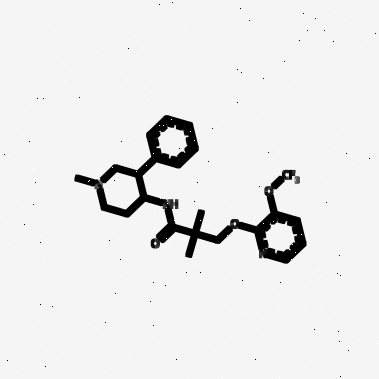 CN1CCC(NC(=O)C(C)(C)COc2ncccc2OC(F)(F)F)C(c2ccccc2)C1